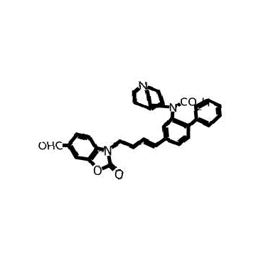 O=Cc1ccc2c(c1)oc(=O)n2CCC=Cc1ccc(-c2ccccc2)c(N(C(=O)O)C2CN3CCC2CC3)c1